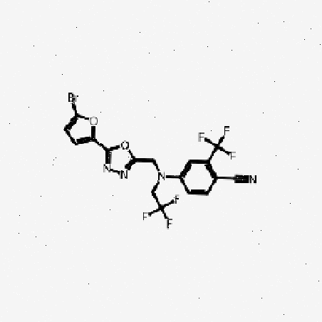 N#Cc1ccc(N(Cc2nnc(-c3ccc(Br)o3)o2)CC(F)(F)F)cc1C(F)(F)F